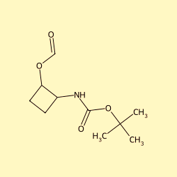 CC(C)(C)OC(=O)NC1CCC1OC=O